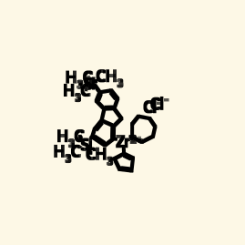 C[Si](C)(C)c1ccc2c(c1)-c1cc([Si](C)(C)C)c[c]([Zr+2]([C]3=CC=CC3)=[C]3CCCCCC3)c1C2.[Cl-].[Cl-]